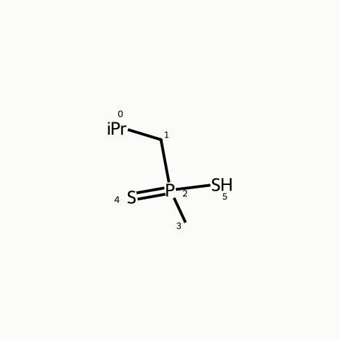 CC(C)CP(C)(=S)S